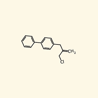 C=C(CCl)Cc1ccc(-c2ccccc2)cc1